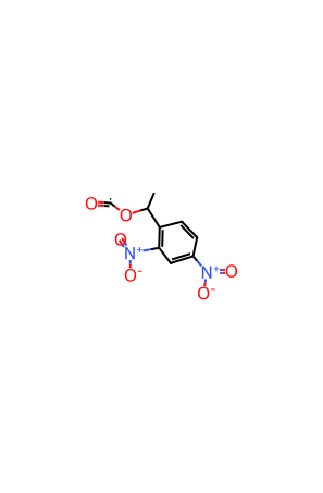 CC(O[C]=O)c1ccc([N+](=O)[O-])cc1[N+](=O)[O-]